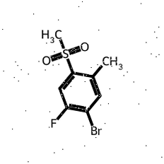 Cc1cc(Br)c(F)cc1S(C)(=O)=O